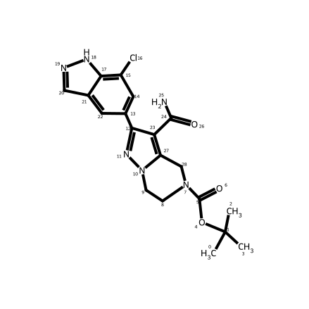 CC(C)(C)OC(=O)N1CCn2nc(-c3cc(Cl)c4[nH]ncc4c3)c(C(N)=O)c2C1